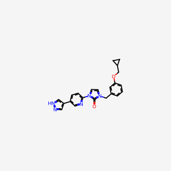 O=c1n(Cc2cccc(OCC3CC3)c2)ccn1-c1ccc(-c2cn[nH]c2)cn1